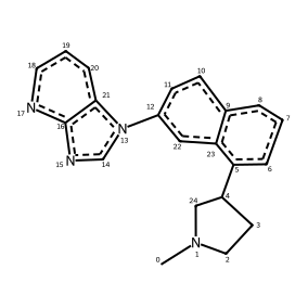 CN1CCC(c2cccc3ccc(-n4cnc5ncccc54)cc23)C1